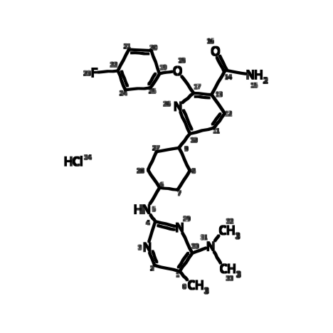 Cc1cnc(NC2CCC(c3ccc(C(N)=O)c(Oc4ccc(F)cc4)n3)CC2)nc1N(C)C.Cl